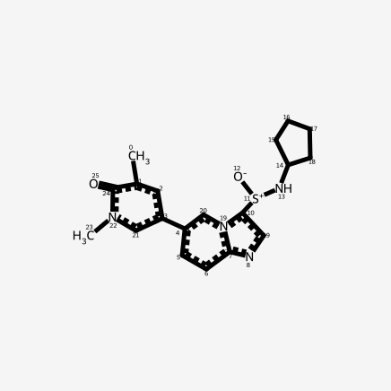 Cc1cc(-c2ccc3ncc([S+]([O-])NC4CCCC4)n3c2)cn(C)c1=O